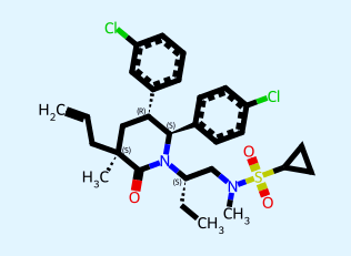 C=CC[C@@]1(C)C[C@H](c2cccc(Cl)c2)[C@@H](c2ccc(Cl)cc2)N([C@@H](CC)CN(C)S(=O)(=O)C2CC2)C1=O